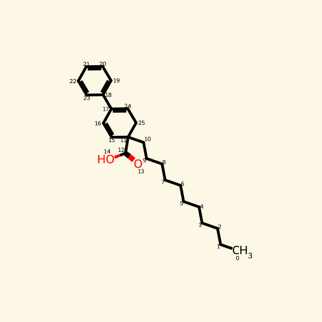 CCCCCCCCCCCC1(C(=O)O)C=CC(c2ccccc2)=CC1